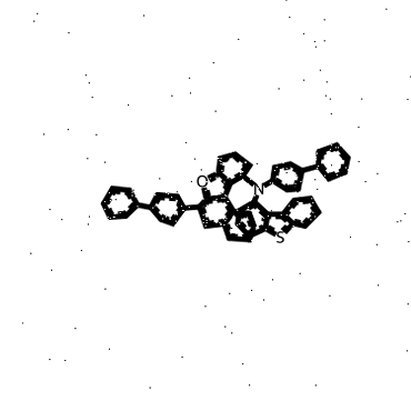 c1ccc(-c2ccc(-c3cc4ccccc4c4c3oc3cccc(N(c5ccc(-c6ccccc6)cc5)c5cccc6sc7ccccc7c56)c34)cc2)cc1